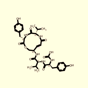 CC(C)[C@@H]1NC(=O)/C=C/[C@@H](NC(=O)[C@@H](NC(=O)[C@H](Cc2ccc(O)cc2)NC(=O)O)C(C)C)COC(=O)[C@H](Cc2ccc(O)cc2)NC1=O